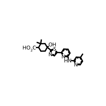 Cc1ccnc(Nc2cccc(-c3cnc(C4(O)CCC(C(=O)O)C(C)(C)C4)s3)n2)c1